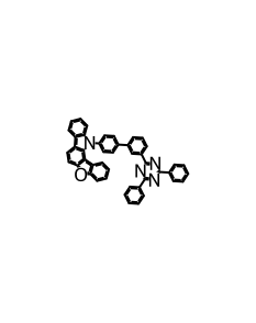 c1ccc(-c2nc(-c3ccccc3)nc(-c3cccc(-c4ccc(-n5c6ccccc6c6ccc7oc8ccccc8c7c65)cc4)c3)n2)cc1